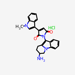 Cl.Cn1cc(C2=CC(=O)N(c3c4n(c5ccccc35)CC(N)CC4)C2=O)c2ccccc21